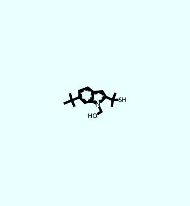 CC(C)(C)c1ccc2cc(C(C)(C)S)n(CO)c2c1